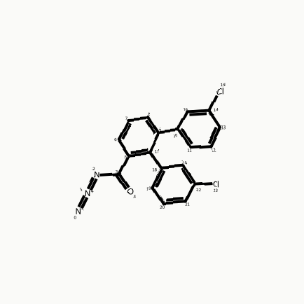 [N-]=[N+]=NC(=O)c1cccc(-c2cccc(Cl)c2)c1-c1cccc(Cl)c1